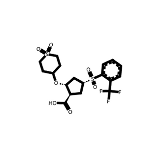 O=C(O)[C@@H]1C[C@@H](S(=O)(=O)c2ccccc2C(F)(F)F)C[C@H]1OC1CCS(=O)(=O)CC1